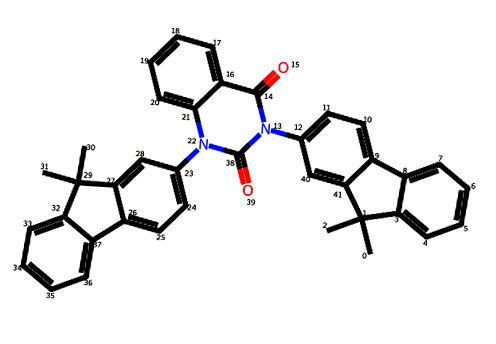 CC1(C)c2ccccc2-c2ccc(-n3c(=O)c4ccccc4n(-c4ccc5c(c4)C(C)(C)c4ccccc4-5)c3=O)cc21